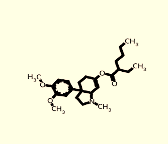 CCCCC(CC)C(=O)OC1=CC2N(C)CCC2(c2ccc(OC)c(OC)c2)CC1